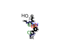 C=C/C=C(Cl)\C=C(/CNS(=O)(=O)c1cccc(C(=C)/C=C\C(Cl)=C/CC)c1)C(=C)CCC(=O)O